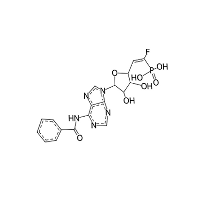 O=C(Nc1ncnc2c1ncn2C1OC(C=C(F)P(=O)(O)O)C(O)C1O)c1ccccc1